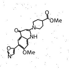 COC(=O)C1CCN(c2cc(=O)c3cc(-c4cnco4)c(OC)cc3[nH]2)CC1